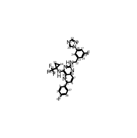 Fc1ccc(-c2ccc3nc(NCc4cc(F)cc(-n5cncn5)c4)nc(NC4(C(F)(F)F)CC4)c3n2)cc1